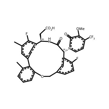 COc1c(C(F)(F)F)ccn([C@H]2C(=O)N[C@H](CC(=O)O)c3cc(cc(C)c3F)-c3c(C)cccc3OCc3ccc(F)c2c3)c1=O